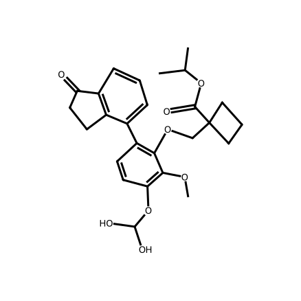 COc1c(OC(O)O)ccc(-c2cccc3c2CCC3=O)c1OCC1(C(=O)OC(C)C)CCC1